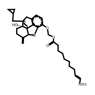 C=C1CC[C@@]2(O)C3Cc4ccc(OCOC(=O)CCCCCCC/C=C/CCCCCCCC)c5c4[C@@]2(CCN3CC2CC2)[C@H]1O5